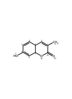 CC1=CC2C=CC(O)=CC2OC1=O